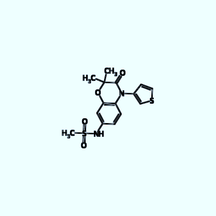 CC1(C)Oc2cc(NS(C)(=O)=O)ccc2N(c2ccsc2)C1=O